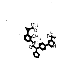 Cc1c(NC(=O)C(c2ccc(-c3cncc(C(F)(F)F)c3)cc2)C2CCCC2)cccc1C1CC1C(=O)O